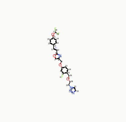 Fc1cc(OCc2coc(/C=C/c3ccc(OC(F)F)cc3)n2)ccc1COCCn1ccnn1